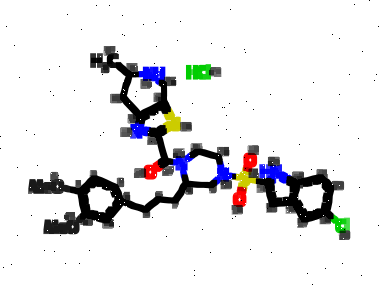 COc1ccc(CCCC2CN(S(=O)(=O)c3cc4cc(Cl)ccc4[nH]3)CCN2C(=O)c2nc3c(s2)CNC(C)C3)cc1OC.Cl